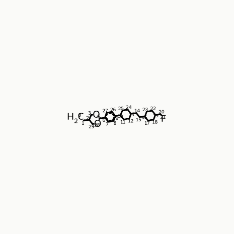 C=CC1COC(c2ccc(C3CCC(CCC4CCC(CF)CC4)CC3)cc2)OC1